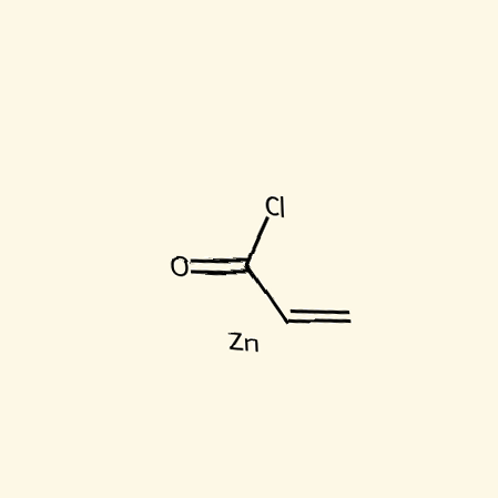 C=CC(=O)Cl.[Zn]